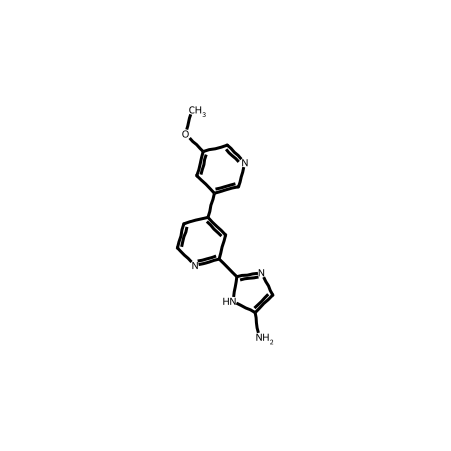 COc1cncc(-c2ccnc(-c3ncc(N)[nH]3)c2)c1